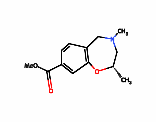 COC(=O)c1ccc2c(c1)O[C@@H](C)CN(C)C2